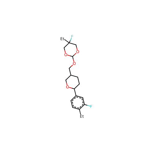 CCc1ccc(C2CCC(COC3OCC(F)(CC)CO3)CO2)cc1F